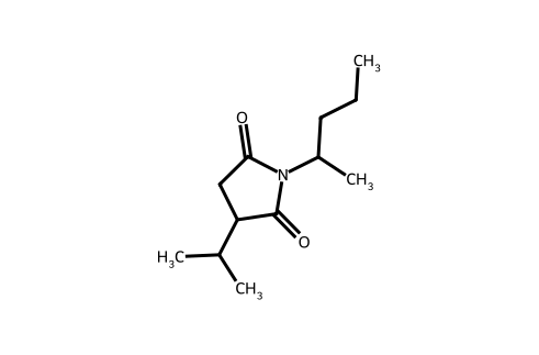 CCCC(C)N1C(=O)CC(C(C)C)C1=O